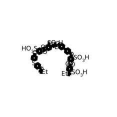 CCC(C)(C)Oc1ccc(Sc2ccc(Oc3ccc(S(=O)(=O)c4ccc([C@@](C)(CC)C(C)(CC)Oc5ccc(-c6ccc(Oc7ccc(S(=O)(=O)c8ccc(C(C)(C)CC)c(S(=O)(=O)O)c8)cc7S(=O)(=O)O)cc6)cc5)c(S(=O)(=O)O)c4)cc3S(=O)(=O)O)cc2)cc1